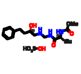 COC(=O)N[C@H](C(=O)NCNC[C@@H](O)CCc1ccccc1)C(C)(C)C.O=S(=O)(O)O